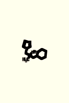 CCCC(C)(CC1CCCCC1)Cn1ccnc1